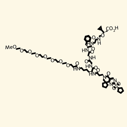 COCCOCCOCCOCCOCCOCCOCCOCCC(=O)NCCCC[C@H](NC(=O)CCN1CC2(CCCC2)c2nc(S(=O)(=O)C3CCCC3)ncc2C1=O)C(=O)NCC(=O)NCC(=O)N[C@@H](Cc1ccccc1)C(=O)NCC(=O)NCO[C@@H](CC(=O)O)C1CC1